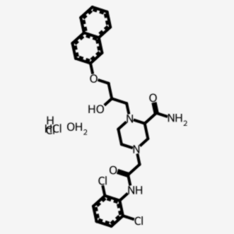 Cl.Cl.NC(=O)C1CN(CC(=O)Nc2c(Cl)cccc2Cl)CCN1CC(O)COc1ccc2ccccc2c1.O